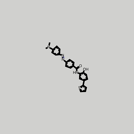 CN(C)c1ccc(/N=N/c2ccc(C(=O)Nc3cc(-c4cccs4)ccc3O)cc2)cc1